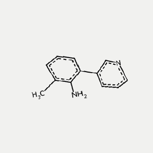 Cc1cccc(-c2cccnc2)c1N